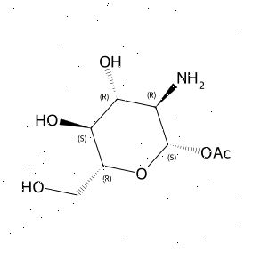 CC(=O)O[C@@H]1O[C@H](CO)[C@@H](O)[C@H](O)[C@H]1N